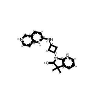 CC1(C)C(=O)N([C@H]2C[C@H](Nc3ccc4cnccc4n3)C2)c2ncccc21